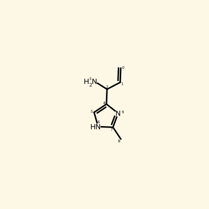 C=CC(N)c1c[nH]c(C)n1